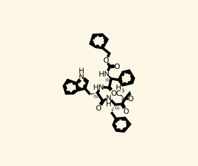 C[C@]1(C(=O)[C@H](Cc2ccccc2)NC(=O)[C@H](Cc2c[nH]c3ccccc23)NC(=O)[C@@H](NC(=O)OCc2ccccc2)c2ccccc2)CO1